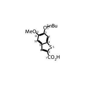 CCCCOc1cc2sc(C(=O)O)cc2cc1OC